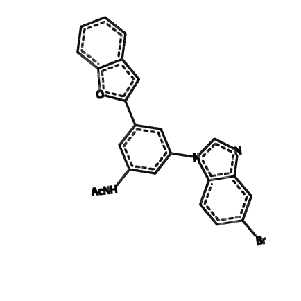 CC(=O)Nc1cc(-c2cc3ccccc3o2)cc(-n2cnc3cc(Br)ccc32)c1